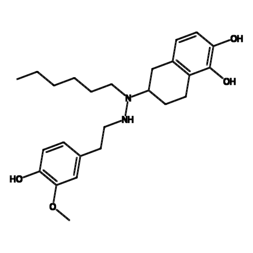 CCCCCCN(NCCc1ccc(O)c(OC)c1)C1CCc2c(ccc(O)c2O)C1